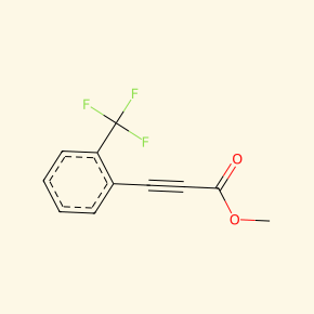 COC(=O)C#Cc1ccccc1C(F)(F)F